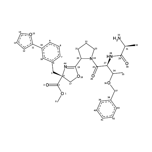 COC(=O)[C@@]1(Cc2cccc(-c3ccco3)c2)COC(C2CCCN2C(=O)[C@@H](NC(=O)[C@H](C)N)C(C)OCc2ccccc2)=N1